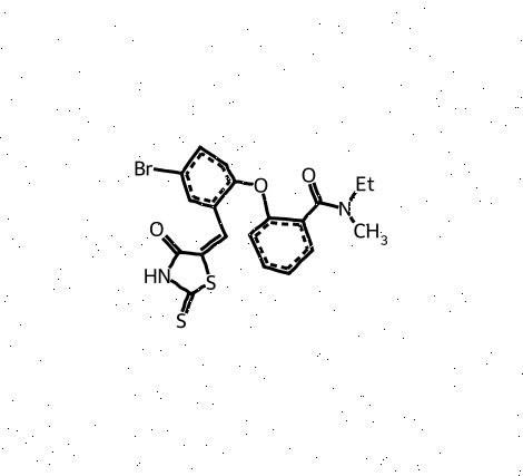 CCN(C)C(=O)c1ccccc1Oc1ccc(Br)cc1C=C1SC(=S)NC1=O